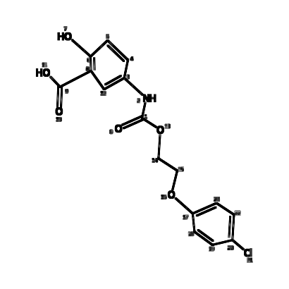 O=C(Nc1ccc(O)c(C(=O)O)c1)OCCOc1ccc(Cl)cc1